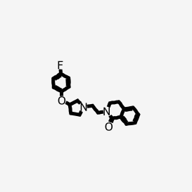 O=C1c2ccccc2CCN1CCN1CCC(Oc2ccc(F)cc2)C1